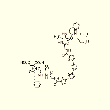 CC(NC(=O)CNC(=O)c1ccc(-c2ccc(-c3ccc(-c4ccc(C(=O)NCC(=O)N[C@@H](C)C(=O)NC(Cc5ccccc5)C(=O)N[C@@H](CC(=O)O)C(=O)O)s4)s3)s2)s1)C(=O)NC(Cc1ccccc1)C(=O)N[C@@H](CC(=O)O)C(=O)O